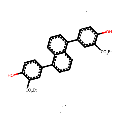 CCOC(=O)c1cc(-c2cccc3c(-c4ccc(O)c(C(=O)OCC)c4)cccc23)ccc1O